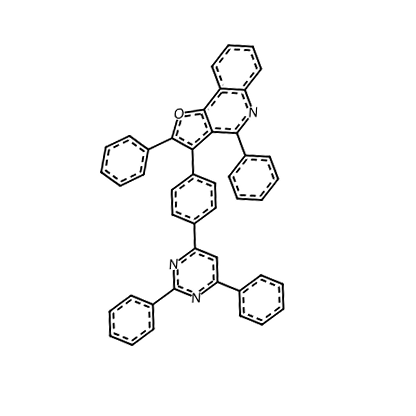 c1ccc(-c2cc(-c3ccc(-c4c(-c5ccccc5)oc5c4c(-c4ccccc4)nc4ccccc45)cc3)nc(-c3ccccc3)n2)cc1